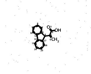 C=C(C(=O)O)C1c2ccccc2-c2ccccc21